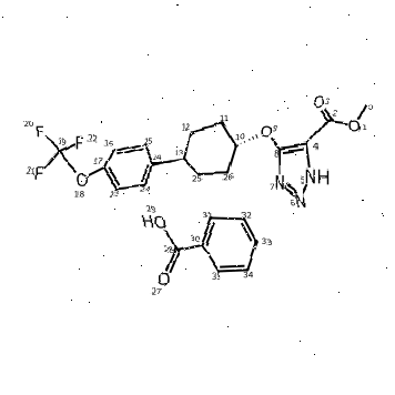 COC(=O)c1[nH]nnc1O[C@H]1CC[C@H](c2ccc(OC(F)(F)F)cc2)CC1.O=C(O)c1ccccc1